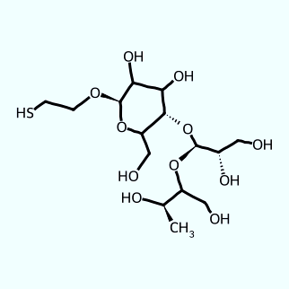 C[C@@H](O)C(CO)O[C@@H](O[C@@H]1C(CO)O[C@@H](OCCS)C(O)C1O)[C@@H](O)CO